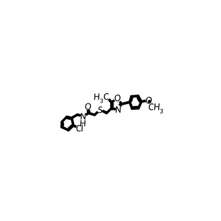 COc1ccc(-c2nc(CSCC(=O)NCc3ccccc3Cl)c(C)o2)cc1